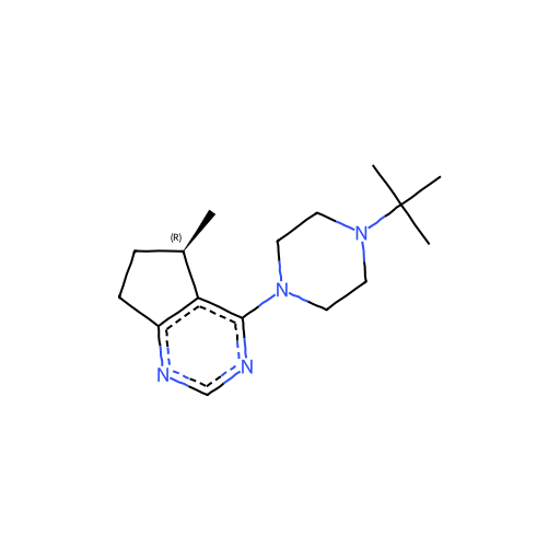 C[C@@H]1CCc2ncnc(N3CCN(C(C)(C)C)CC3)c21